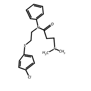 CN(C)CCC(=O)N(CCSc1ccc(Cl)cc1)c1ccccc1